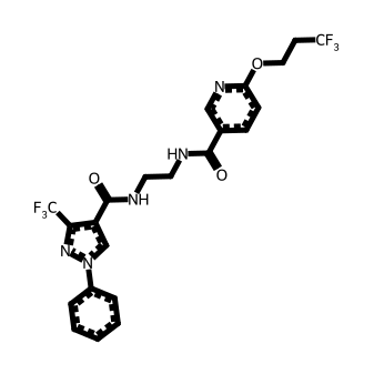 O=C(NCCNC(=O)c1cn(-c2ccccc2)nc1C(F)(F)F)c1ccc(OCCC(F)(F)F)nc1